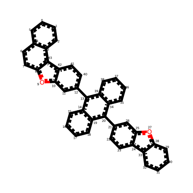 c1ccc2c(c1)ccc1oc3cc(-c4c5ccccc5c(-c5ccc6c(c5)oc5ccccc56)c5ccccc45)ccc3c12